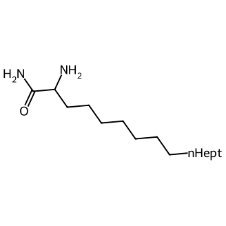 CCCCCCCCCCCCCCC(N)C(N)=O